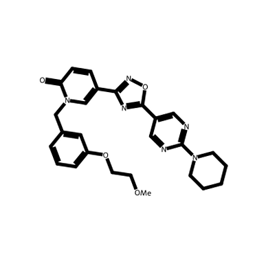 COCCOc1cccc(Cn2cc(-c3noc(-c4cnc(N5CCCCC5)nc4)n3)ccc2=O)c1